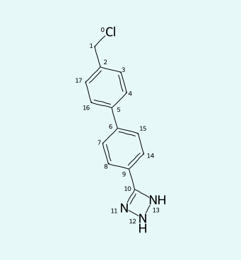 ClCc1ccc(-c2ccc(-c3n[nH][nH]3)cc2)cc1